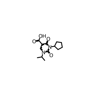 CC(C)n1cc(C(=O)O)c(=O)n(C2CCCC2)c1=O